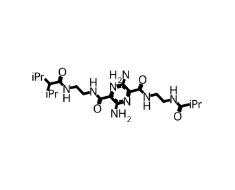 CC(C)C(=O)NCCNC(=O)c1nc(N)c(C(=O)NCCNC(=O)C(C(C)C)C(C)C)nc1N